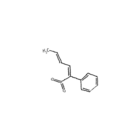 CC=CC=C(c1ccccc1)P(=O)=O